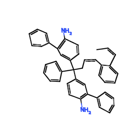 C/C=C\c1ccccc1/C=C\CC(c1ccccc1)(c1ccc(N)c(-c2ccccc2)c1)c1ccc(N)c(-c2ccccc2)c1